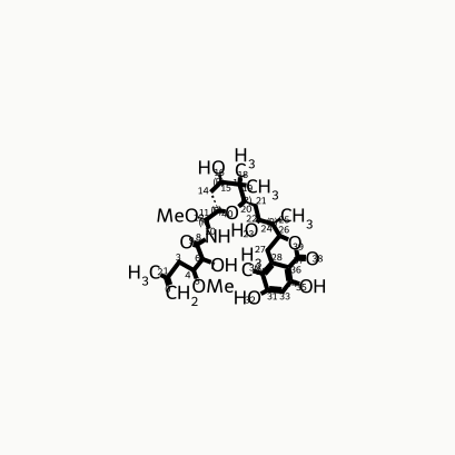 C=C(C)CC(OC)C(O)C(=O)N[C@H](OC)[C@@H]1C[C@@H](O)C(C)(C)[C@@H](CC(O)[C@@H](C)C2Cc3c(C)c(O)cc(O)c3C(=O)O2)O1